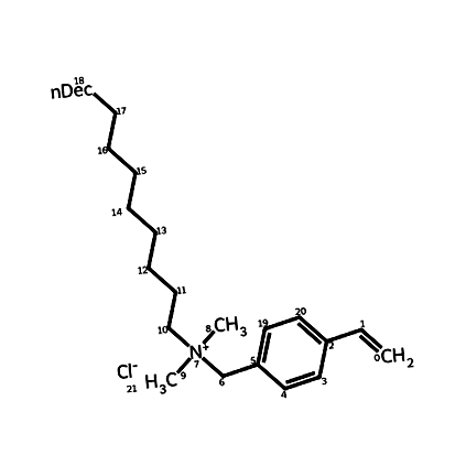 C=Cc1ccc(C[N+](C)(C)CCCCCCCCCCCCCCCCCC)cc1.[Cl-]